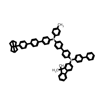 Cc1ccc(N(c2ccc(-c3ccc(-c4ccc(C56CC7CC5CC7C6)cc4)cc3)cc2)c2ccc(-c3ccc(N(c4ccc(-c5ccccc5)cc4)c4ccc5c(c4)C(C)(C)c4ccccc4-5)cc3)cc2)cc1